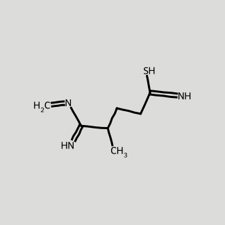 C=NC(=N)C(C)CCC(=N)S